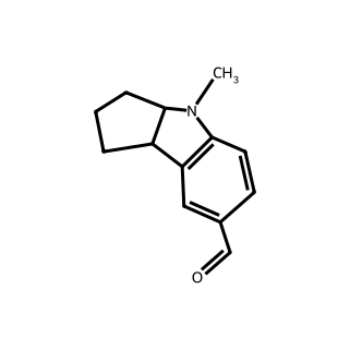 CN1c2ccc(C=O)cc2C2CCCC21